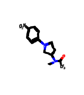 CN(C(=O)C(F)(F)F)C1CCN(c2ccc([N+](=O)[O-])cc2)C1